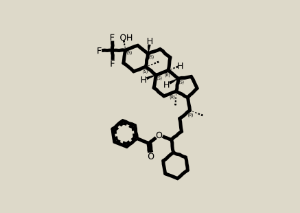 C[C@H](CCC(OC(=O)c1ccccc1)C1CCCCC1)C1CC[C@H]2[C@@H]3CC[C@H]4C[C@](O)(C(F)(F)F)CC[C@]4(C)[C@H]3CC[C@]12C